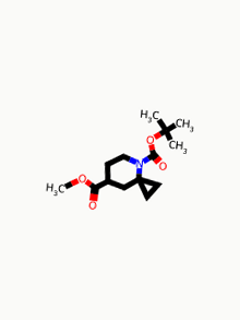 COC(=O)C1CCN(C(=O)OC(C)(C)C)C2(CC2)C1